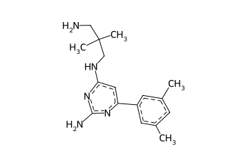 Cc1cc(C)cc(-c2cc(NCC(C)(C)CN)nc(N)n2)c1